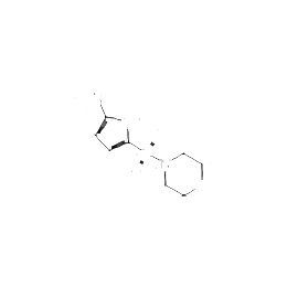 O=[N+]([O-])c1ccc(S(=O)(=O)N2CCOCC2)s1